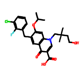 CC(C)Oc1cc2c(cc1Cc1cccc(Cl)c1F)c(=O)c(C(=O)O)cn2CC(C)(C)CCO